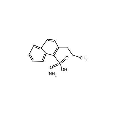 CCCc1ccc2ccccc2c1S(=O)(=O)O.N